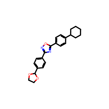 c1cc(C2OCCO2)ccc1-c1noc(-c2ccc(C3CCCCC3)cc2)n1